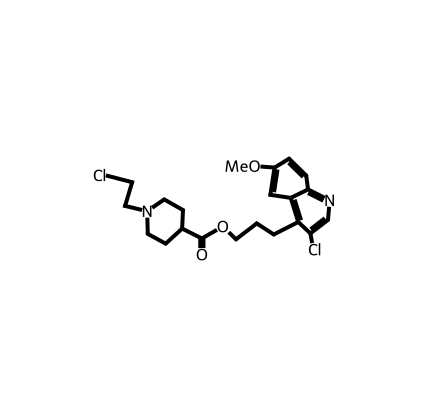 COc1ccc2ncc(Cl)c(CCCOC(=O)C3CCN(CCCl)CC3)c2c1